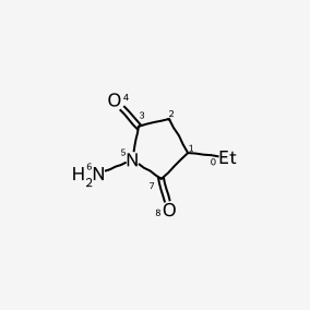 CCC1CC(=O)N(N)C1=O